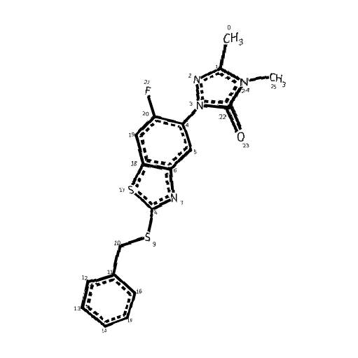 Cc1nn(-c2cc3nc(SCc4ccccc4)sc3cc2F)c(=O)n1C